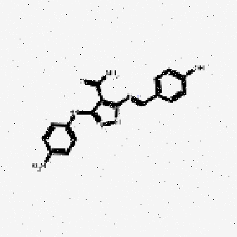 NC(=O)c1c(Nc2ccc([N+](=O)[O-])cc2)n[nH]c1/N=C/c1ccc(O)cc1